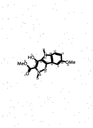 COC(=O)C1=C(O)c2c(c3cc(OC)ccc3n2C)SN1C